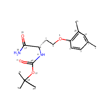 Cc1ccc(OCC[C@H](NC(=O)OC(C)(C)C)C(N)=O)c(C)c1